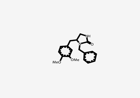 COc1ccc(CC2CNC(=O)N2Cc2ccccc2)cc1OC